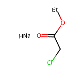 CCOC(=O)CCl.[NaH]